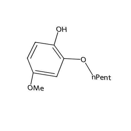 CCCCCOc1cc(OC)ccc1O